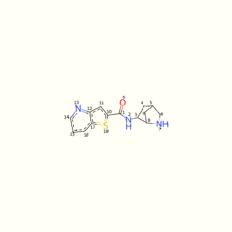 O=C(NC1CC2CNC1C2)c1cc2ncccc2s1